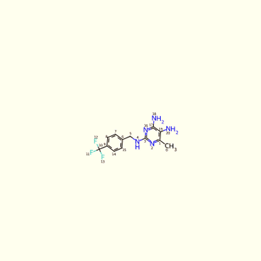 Cc1nc(NCc2ccc(C(F)(F)F)cc2)nc(N)c1N